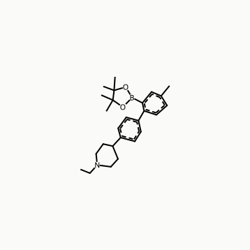 CCN1CCC(c2ccc(-c3ccc(C)cc3B3OC(C)(C)C(C)(C)O3)cc2)CC1